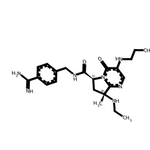 CCCNc1cnc2n(c1=O)[C@H](C(=O)NCc1ccc(C(=N)N)cc1)C[C@@]2(C)NCC